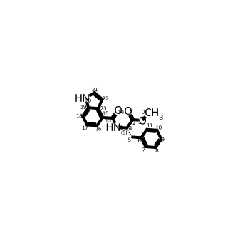 COC(=O)[C@H](Cc1ccccc1)NC(=O)c1cccc2[nH]ccc12